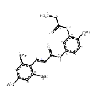 COc1cc(OC)c(/C=C/C(=O)Nc2ccc(OC)c(OC(=O)CC(=O)O)c2)c(OC)c1